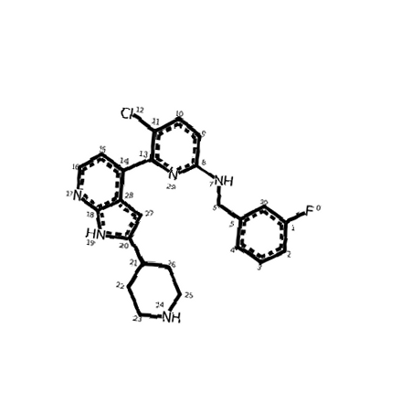 Fc1cccc(CNc2ccc(Cl)c(-c3ccnc4[nH]c(C5CCNCC5)cc34)n2)c1